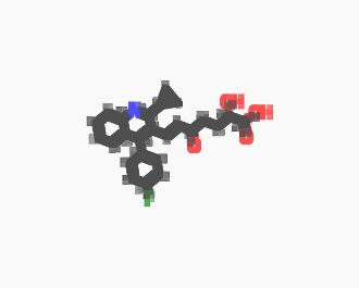 O=C(C=Cc1c(C2CC2)nc2ccccc2c1-c1ccc(F)cc1)CC[C@@H](O)C(=O)O